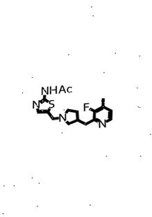 CC(=O)Nc1ncc(CN2CCC(Cc3nccc(C)c3F)C2)s1